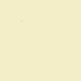 C1CCC(P(C2CCCCC2)C2CCCCC2)CC1.C1CCC(P(C2CCCCC2)C2CCCCC2)CC1.[CH2]1[CH2][Ni]1